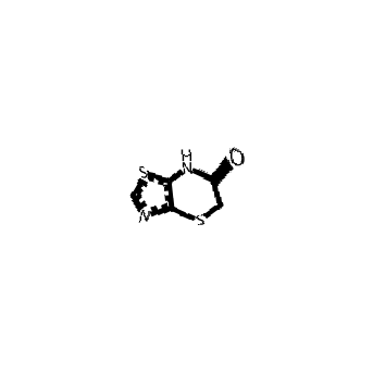 O=C1CSc2ncsc2N1